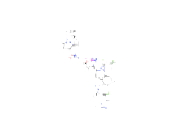 CN1CC[C@@H](Nc2cccc3c2cc(-c2cc(CNC(=O)c4ccn(C(C)(C)C)c4)on2)n3C(F)C(F)F)[C@@H](F)C1